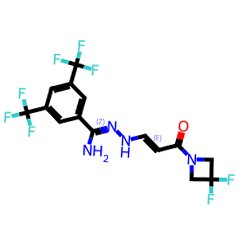 N/C(=N\N/C=C/C(=O)N1CC(F)(F)C1)c1cc(C(F)(F)F)cc(C(F)(F)F)c1